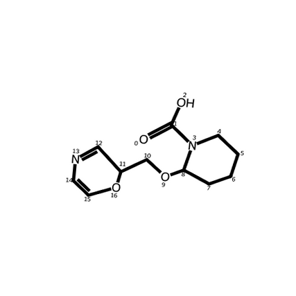 O=C(O)N1CCCCC1OCC1C=NC=CO1